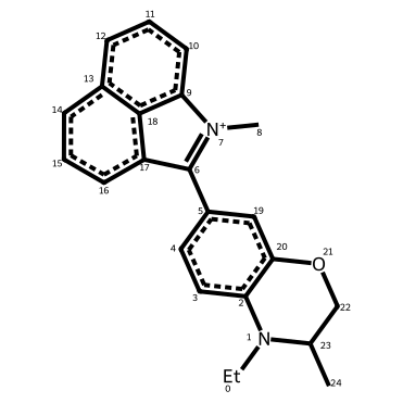 CCN1c2ccc(C3=[N+](C)c4cccc5cccc3c45)cc2OCC1C